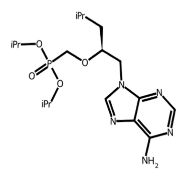 CC(C)C[C@@H](Cn1cnc2c(N)ncnc21)OCP(=O)(OC(C)C)OC(C)C